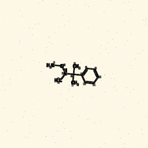 C[SiH](O[SiH3])C(C)(C)c1ccccc1